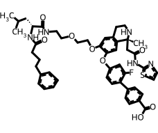 CC(C)C[C@@H](NC(=O)CCCc1ccccc1)C(=O)NCCOCCOc1cc2c(cc1Oc1ccc(-c3ccc(C(=O)O)cc3)c(F)c1)[C@@](C)(CC(=O)Nc1nccs1)NCC2